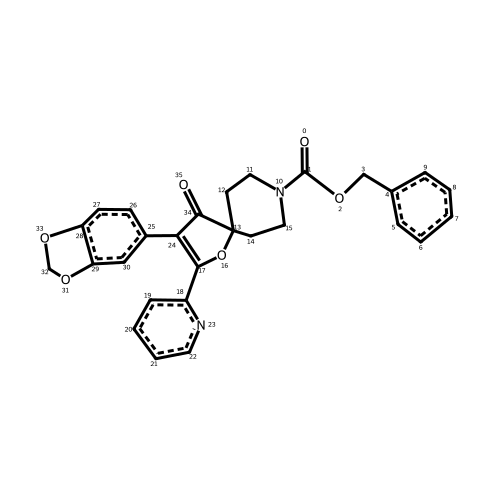 O=C(OCc1ccccc1)N1CCC2(CC1)OC(c1ccccn1)=C(c1ccc3c(c1)OCO3)C2=O